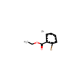 CCOC(=O)c1ccccc1Br.[Zn]